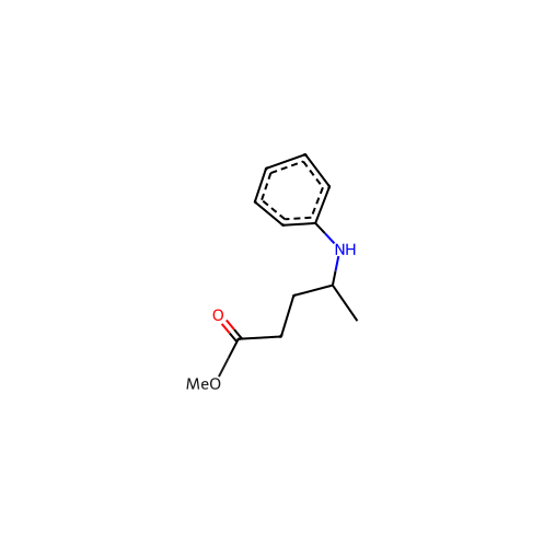 COC(=O)CCC(C)Nc1ccccc1